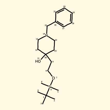 CC(C)(C)[Si](C)(C)OCCC1(O)CCN(Cc2ccccc2)CC1